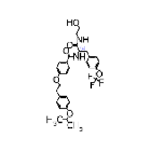 CC(C)Oc1ccc(CCOc2ccc(C(=O)N/C(=C\c3ccc(OC(F)(F)F)cc3)C(=O)NCCO)cc2)cc1